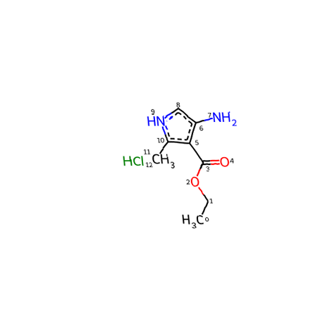 CCOC(=O)c1c(N)c[nH]c1C.Cl